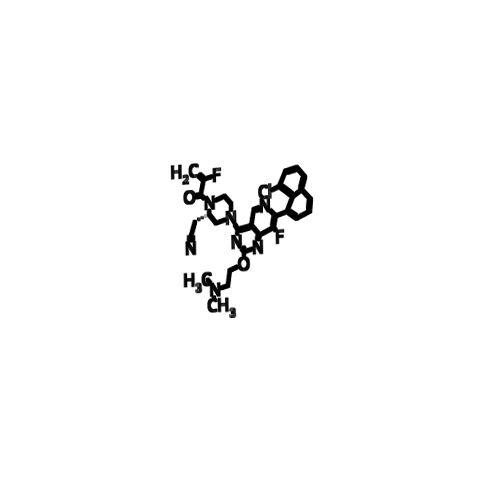 C=C(F)C(=O)N1CCN(c2nc(OCCN(C)C)nc3c(F)c(-c4cccc5cccc(Cl)c45)ncc23)C[C@@H]1CC#N